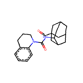 O=CC12CC3CC(C1)C(NC(=O)N1CCCc4ccccc41)C(C3)C2